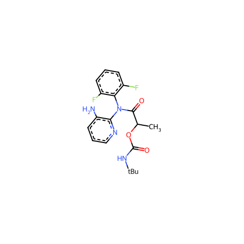 CC(OC(=O)NC(C)(C)C)C(=O)N(c1ncccc1N)c1c(F)cccc1F